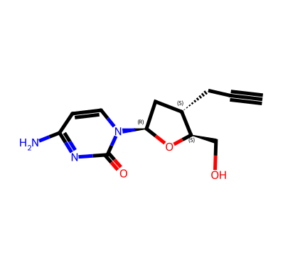 C#CC[C@H]1C[C@H](n2ccc(N)nc2=O)O[C@@H]1CO